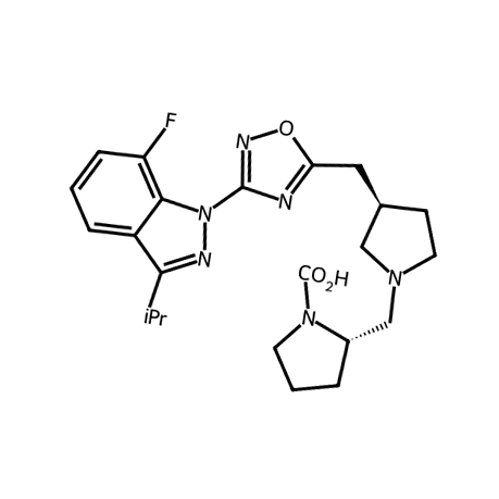 CC(C)c1nn(-c2noc(C[C@H]3CCN(C[C@@H]4CCCN4C(=O)O)C3)n2)c2c(F)cccc12